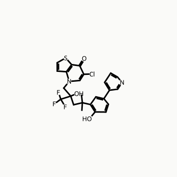 CC(C)(CC(O)(Cn1cc(Cl)c(=O)c2sccc21)C(F)(F)F)c1cc(-c2cccnc2)ccc1O